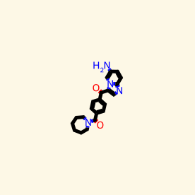 Nc1ccc2ncc(C(=O)c3ccc(C(=O)N4CCCCCC4)cc3)n2c1